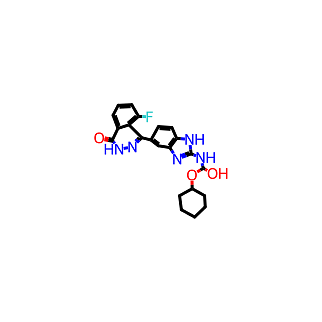 O=c1[nH]nc(-c2ccc3[nH]c(NC(O)OC4CCCCC4)nc3c2)c2c(F)cccc12